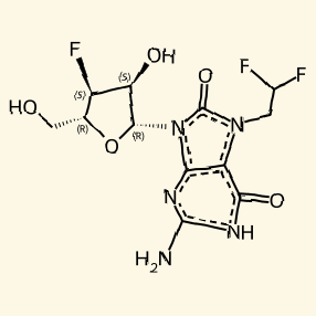 Nc1nc2c(c(=O)[nH]1)n(CC(F)F)c(=O)n2[C@@H]1O[C@H](CO)[C@@H](F)[C@H]1O